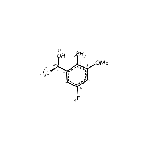 Bc1c(OC)cc(F)cc1[C@@H](C)O